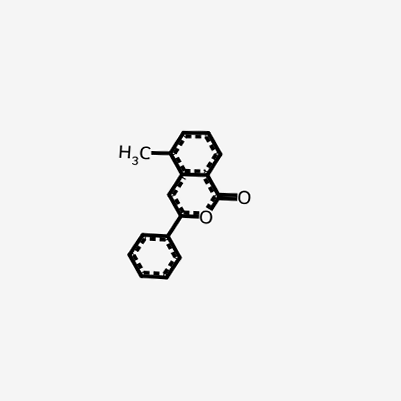 Cc1cccc2c(=O)oc(-c3ccccc3)cc12